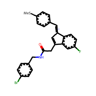 CSc1ccc(/C=C2\C=C(CC(=O)NCc3ccc(Br)cc3)c3cc(F)ccc32)cc1